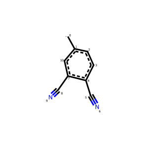 [CH2]c1ccc(C#N)c(C#N)c1